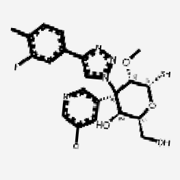 CO[C@@H]1[C@H](S)O[C@@H](CO)[C@@H](O)[C@@]1(c1cncc(Cl)c1)n1cc(-c2ccc(C)c(F)c2)nn1